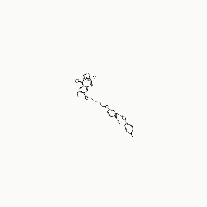 Cc1ccc(Oc2cc(OCCCCOc3cc4c(cc3C)C(=O)N3CCC[C@H]3C=N4)ccc2I)cc1